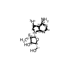 [3H]c1cn([C@@H]2O[C@H](CO)[C@@H](O)[C@@]2(C)F)c2ncnc(N)c12